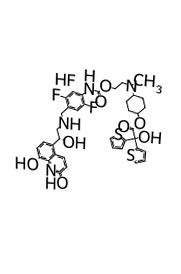 CN(CCOC(=O)Nc1cc(F)c(CNC[C@H](O)c2ccc(O)c3[nH]c(=O)ccc23)cc1F)[C@H]1CC[C@H](OC(=O)C(O)(c2cccs2)c2cccs2)CC1.F